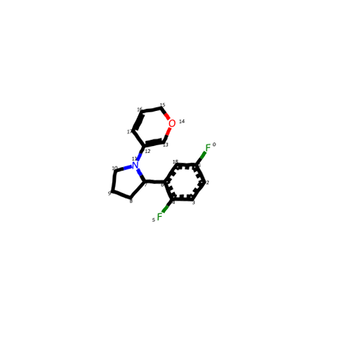 Fc1ccc(F)c(C2CCCN2C2=COCC=C2)c1